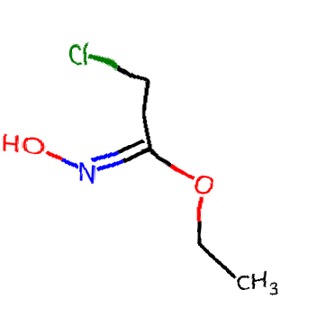 CCOC(CCl)=NO